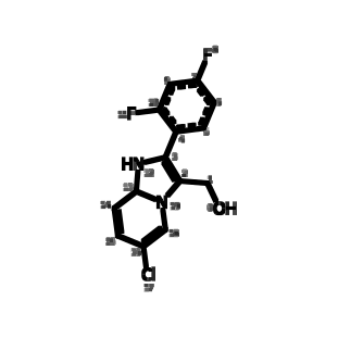 OCC1=C(c2ccc(F)cc2F)NC2C=CC(Cl)=CN12